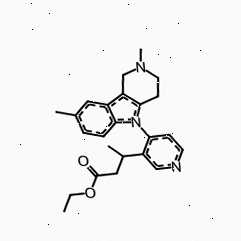 CCOC(=O)CC(C)c1cnccc1-n1c2c(c3cc(C)ccc31)CN(C)CC2